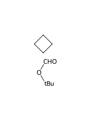 C1CCC1.CC(C)(C)OC=O